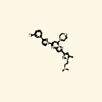 Cc1cc(-c2cc3nc(-n4ccc(-c5cccc(Cl)c5)n4)cc(N4CCOCC4)n3n2)nn1CCN(C)C